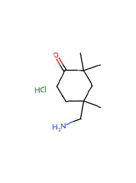 CC1(CN)CCC(=O)C(C)(C)C1.Cl